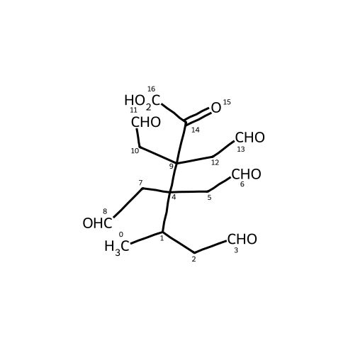 CC(CC=O)C(CC=O)(CC=O)C(CC=O)(CC=O)C(=O)C(=O)O